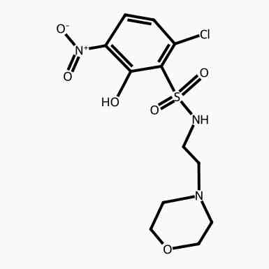 O=[N+]([O-])c1ccc(Cl)c(S(=O)(=O)NCCN2CCOCC2)c1O